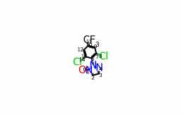 [O-][n+]1ccnn1-c1c(Cl)cc(C(F)(F)F)cc1Cl